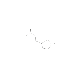 CN(C)CCC1CCN(C)C1